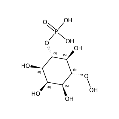 O=P(O)(O)O[C@@H]1[C@@H](O)[C@H](OO)[C@@H](O)[C@@H](O)[C@H]1O